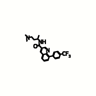 CC(CCN(C)C)NC(=O)c1cnc2c(-c3ccc(C(F)(F)F)cc3)cccc2c1